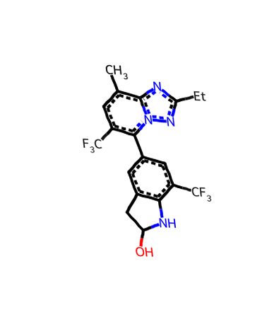 CCc1nc2c(C)cc(C(F)(F)F)c(-c3cc4c(c(C(F)(F)F)c3)NC(O)C4)n2n1